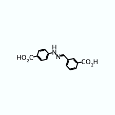 O=C(O)c1ccc(NN=Cc2cccc(C(=O)O)c2)cc1